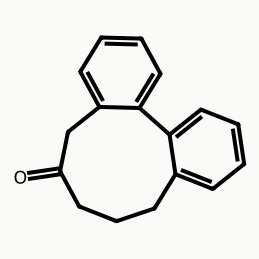 O=C1CCCc2ccccc2-c2ccccc2C1